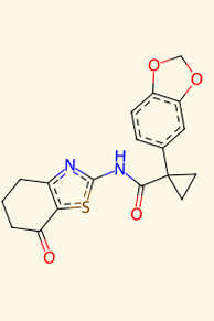 O=C1CCCc2nc(NC(=O)C3(c4ccc5c(c4)OCO5)CC3)sc21